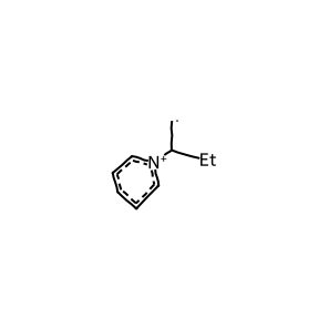 [CH2]C(CC)[n+]1ccccc1